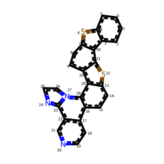 c1ccc2c(c1)sc1ccc3c(sc4ccc5c6ccncc6c6nccn6c5c43)c12